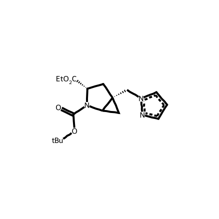 CCOC(=O)[C@@H]1C[C@@]2(Cn3cccn3)CC2N1C(=O)OC(C)(C)C